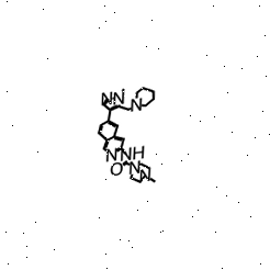 CN1CCN(C(=O)Nc2cc3cc(-c4cnn(C)c4CN4CCCCC4)ccc3cn2)CC1